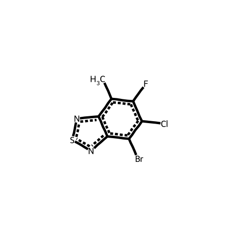 Cc1c(F)c(Cl)c(Br)c2nsnc12